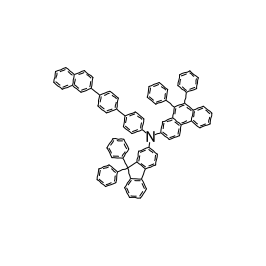 c1ccc(-c2c(-c3ccccc3)c3cc(N(c4ccc(-c5ccc(-c6ccc7ccccc7c6)cc5)cc4)c4ccc5c(c4)C(c4ccccc4)(c4ccccc4)c4ccccc4-5)ccc3c3ccccc23)cc1